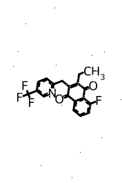 CCC1=C(Cc2ccc(C(F)(F)F)cn2)C(=O)c2cccc(F)c2C1=O